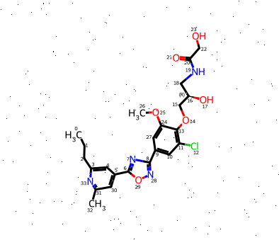 CCCc1cc(-c2nc(-c3cc(Cl)c(OC[C@H](O)CNC(=O)CO)c(OC)c3)no2)cc(C)n1